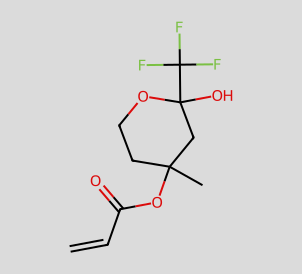 C=CC(=O)OC1(C)CCOC(O)(C(F)(F)F)C1